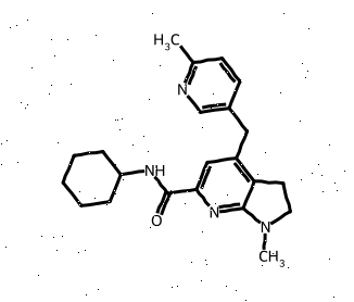 Cc1ccc(Cc2cc(C(=O)NC3CCCCC3)nc3c2CCN3C)cn1